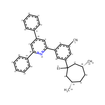 CCC1(c2cc(C#N)cc(-c3cc(-c4ccccc4)cc(-c4ccccc4)n3)c2)C[C@H](C)CC[C@H](C)C1